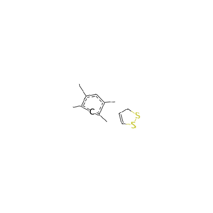 C1=CSSC1.Cc1cc(C)c(C)cc1C